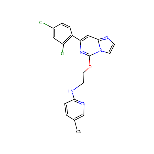 N#Cc1ccc(NCCOc2nc(-c3ccc(Cl)cc3Cl)cc3nccn23)nc1